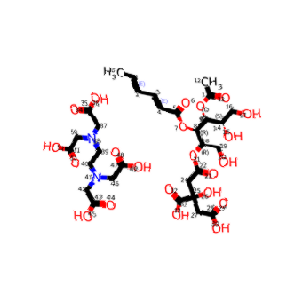 C/C=C/C=C/C(=O)O[C@@H]([C@H](OC(C)=O)[C@@H](O)CO)[C@@H](CO)OC(=O)CC(O)(CC(=O)O)C(=O)O.O=C(O)CN(CCN(CC(=O)O)CC(=O)O)CC(=O)O